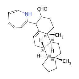 C[C@@]12CCC[C@H]1[C@@H]1CC=C3C(C4=CC=CC=CN4)C(C=O)CC[C@]3(C)[C@H]1CC2